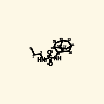 CCCNS(=O)(=O)NC1C2CC3CC(C2)CC1C3